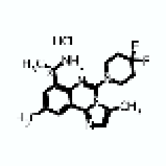 Cc1cc([C@@H](C)N)c2nc(N3CCC(F)(F)CC3)n3c(C)cnc3c2c1.Cl